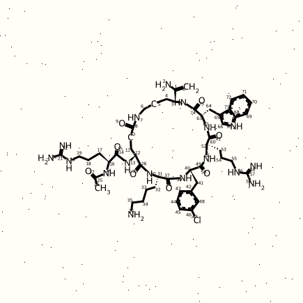 C=C(N)[C@@H]1CCCNC(=O)CC[C@H](NC(=O)[C@H](CCCNC(=N)N)NC(C)=O)C(=O)N[C@@H](CCCCN)C(=O)N[C@H](Cc2cccc(Cl)c2)C(=O)N[C@@H](CCCNC(=N)N)C(=O)N[C@@H](Cc2c[nH]c3ccccc23)C(=O)N1